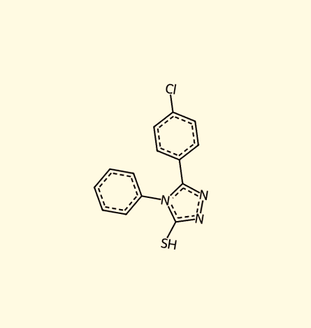 Sc1nnc(-c2ccc(Cl)cc2)n1-c1ccccc1